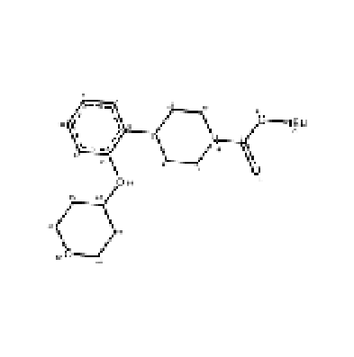 CC(C)(C)OC(=O)N1CCC(c2ccccc2OC2CCOCC2)CC1